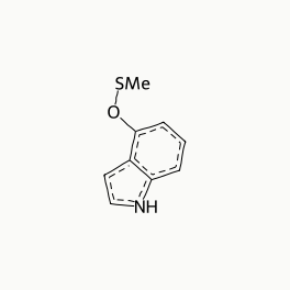 CSOc1cccc2[nH]ccc12